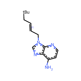 CC(C)(C)C/C=C/Cn1cnc2c(N)ccnc21